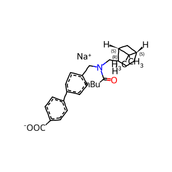 CCCCC(=O)N(Cc1ccc(-c2ccc(C(=O)[O-])cc2)cc1)C[C@@H]1CC[C@H]2C[C@@H]1C2(C)C.[Na+]